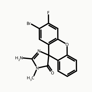 CN1C(=O)C2(N=C1N)c1ccccc1Oc1cc(F)c(Br)cc12